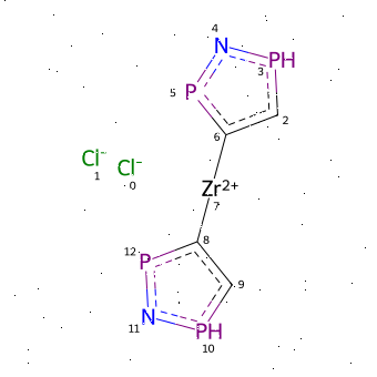 [Cl-].[Cl-].c1[pH]np[c]1[Zr+2][c]1c[pH]np1